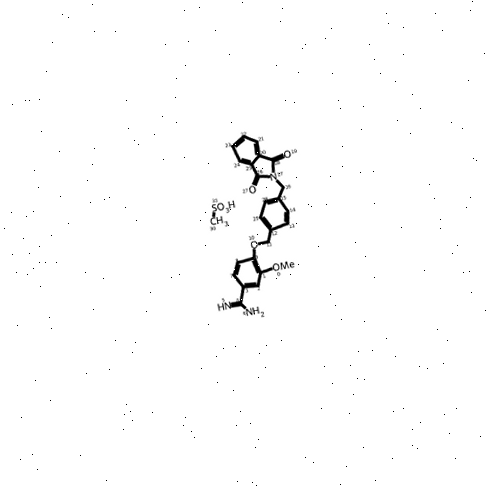 COc1cc(C(=N)N)ccc1OCc1ccc(CN2C(=O)c3ccccc3C2=O)cc1.CS(=O)(=O)O